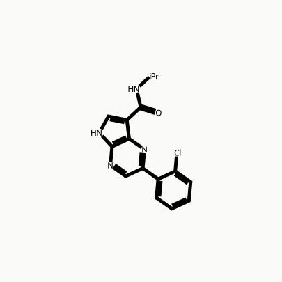 CC(C)NC(=O)c1c[nH]c2ncc(-c3ccccc3Cl)nc12